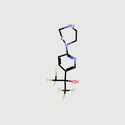 OC(c1ccc(N2CCNCC2)nc1)(C(F)(F)F)C(F)(F)F